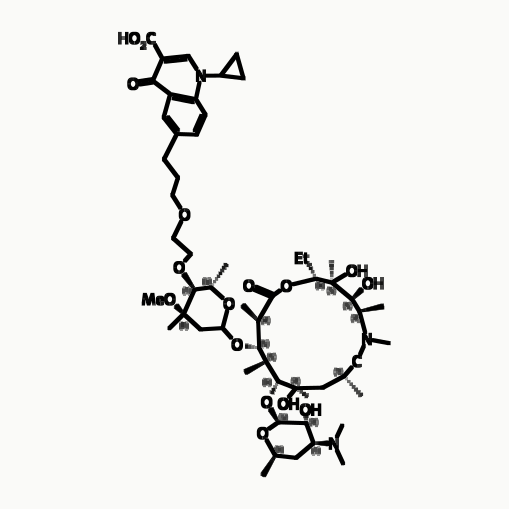 CC[C@H]1OC(=O)[C@H](C)[C@@H](OC2C[C@@](C)(OC)[C@@H](OCCOCCCc3ccc4c(c3)c(=O)c(C(=O)O)cn4C3CC3)[C@H](C)O2)[C@H](C)[C@@H](O[C@@H]2O[C@H](C)C[C@H](N(C)C)[C@H]2O)[C@](C)(O)C[C@@H](C)CN(C)[C@H](C)[C@H](O)[C@]1(C)O